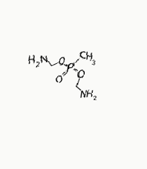 CP(=O)(OCN)OCN